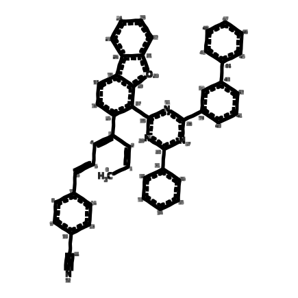 C\C=C/C(=C\C=C\c1ccc(C#N)cc1)c1ccc2c(oc3ccccc32)c1-c1nc(-c2ccccc2)nc(-c2cccc(-c3ccccc3)c2)n1